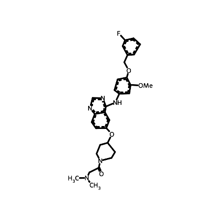 COc1cc(Nc2ncnc3ccc(OC4CCN(C(=O)CN(C)C)CC4)cc23)ccc1OCc1cccc(F)c1